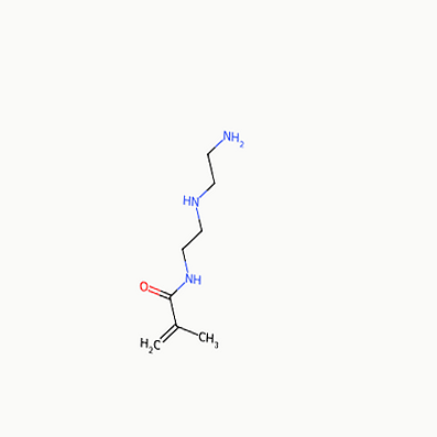 C=C(C)C(=O)NCCNCCN